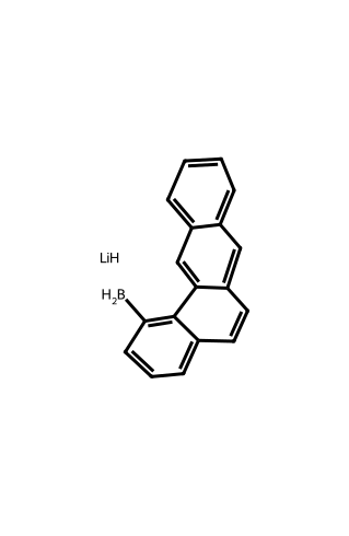 Bc1cccc2ccc3cc4ccccc4cc3c12.[LiH]